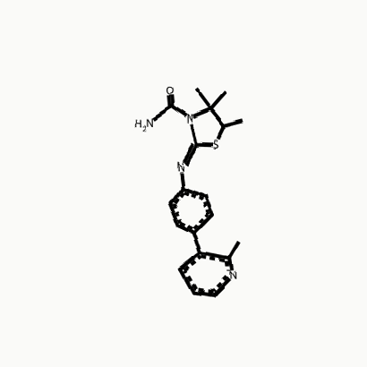 Cc1ncccc1-c1ccc(N=C2SC(C)C(C)(C)N2C(N)=O)cc1